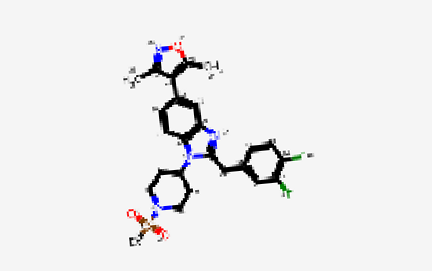 CCS(=O)(=O)N1CCC(n2c(Cc3ccc(F)c(F)c3)nc3cc(-c4c(C)noc4C)ccc32)CC1